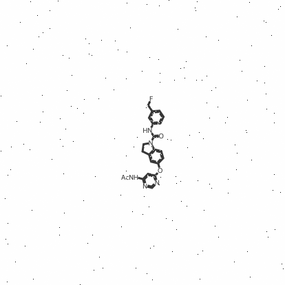 CC(=O)Nc1cc(Oc2ccc3c(c2)CCN3C(=O)Nc2cccc(CF)c2)ncn1